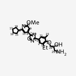 CCc1cc(-c2noc(-c3cc(OC)nc(C4CCCC4)c3)n2)cc(C)c1OCC(O)CN